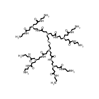 NCCNC(=O)CCN(CCNC(=O)CCN(CCSSCCN(CCC(=O)NCCN(CCC(=O)NCCN)CCC(=O)NCCN)CCC(=O)NCCN(CCC(=O)NCCN)CC(=O)NCCN)CCC(=O)NCCN(CCC(=O)NCCN)CCC(=O)NCCN)CCC(=O)NCCN